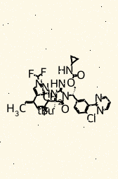 C=C(/C(F)=C\C(=C/C)c1cnn(C(F)F)c1)[C@@]1(CC(C)(C)C)NC(=N)N([C@H](COC(=O)NC2CC2)c2ccc(Cl)c(-c3ncccn3)c2)C1=O